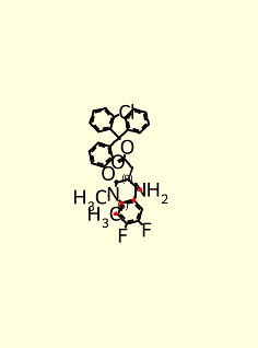 C[C@@H](CN)N(C)C(=O)[C@@H](CC(=O)OC(c1ccccc1)(c1ccccc1)c1ccccc1Cl)Cc1ccc(F)c(F)c1